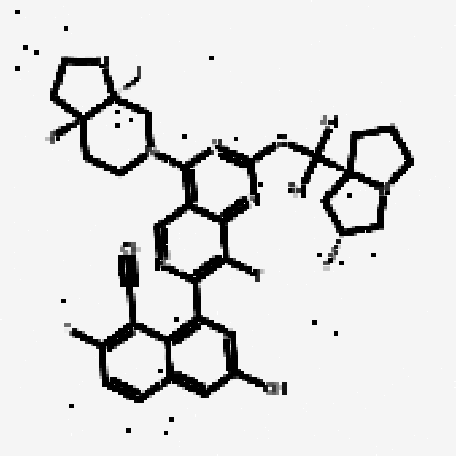 [2H]C([2H])(Oc1nc(N2CC[C@@H]3CCO[C@H]3C2)c2cnc(-c3cc(O)cc4ccc(F)c(C#C)c34)c(F)c2n1)[C@@]12CCCN1C[C@H](F)C2